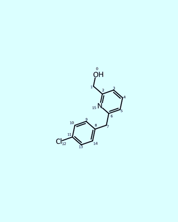 OCc1cccc(Cc2ccc(Cl)cc2)n1